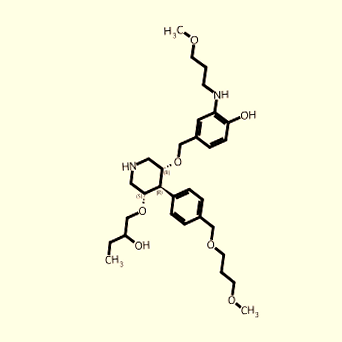 CCC(O)CO[C@@H]1CNC[C@H](OCc2ccc(O)c(NCCCOC)c2)[C@H]1c1ccc(COCCCOC)cc1